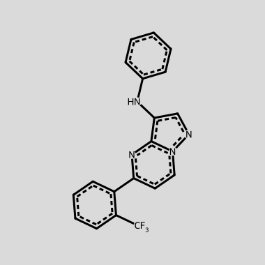 FC(F)(F)c1ccccc1-c1ccn2ncc(Nc3ccccc3)c2n1